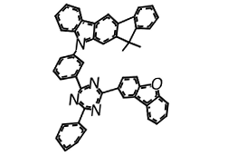 CC1(C)c2ccccc2-c2cc3c4ccccc4n(-c4cccc(-c5nc(-c6ccccc6)nc(-c6ccc7oc8ccccc8c7c6)n5)c4)c3cc21